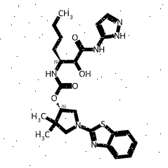 CCCC[C@H](NC(=O)O[C@@H]1CN(c2nc3ccccc3s2)CC1(C)C)C(O)C(=O)Nc1ccn[nH]1